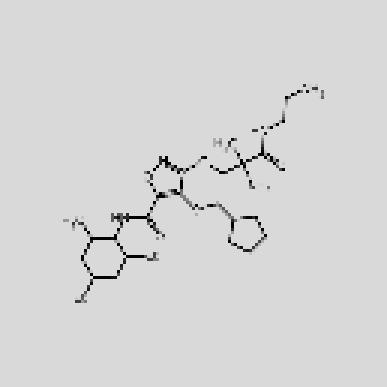 CCC1CC(C)C(NC(=O)c2onc(OCC(C)(C)C(=O)NCCN)c2SCC2CCCC2)C(CC)C1